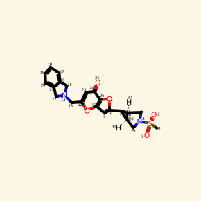 CS(=O)(=O)N1C[C@@H]2C(c3cc4oc(CN5Cc6ccccc6C5)cc(=O)c4o3)[C@@H]2C1